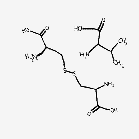 CC(C)C(N)C(=O)O.NC(CSSCC(N)C(=O)O)C(=O)O